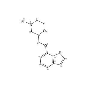 CC(C)N1CCOC(COc2cccc3c2CC=C3)C1